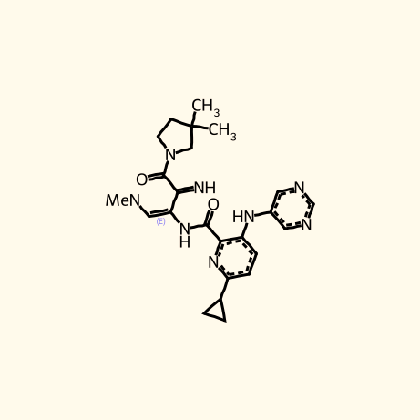 CN/C=C(/NC(=O)c1nc(C2CC2)ccc1Nc1cncnc1)C(=N)C(=O)N1CCC(C)(C)C1